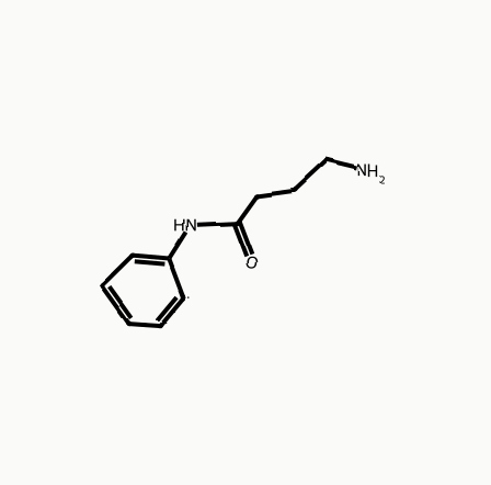 NCCCC(=O)Nc1[c]cccc1